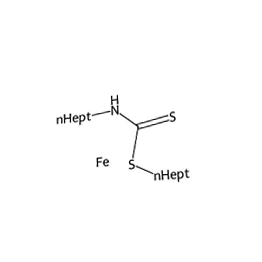 CCCCCCCNC(=S)SCCCCCCC.[Fe]